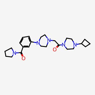 O=C(CN1CCN(c2cccc(C(=O)N3CCCC3)c2)CC1)N1CCN(C2CCC2)CC1